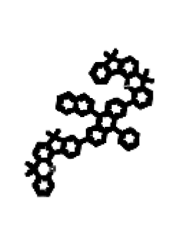 CC1(C)c2ccccc2Oc2c1ccc1c2-c2ccc(-c3ccc4c(-c5ccccc5)c5cc(-c6cccc7c6Oc6c(ccc8c6-c6ccccc6C8(C)C)C7(C)C)ccc5c(-c5ccc6ccccc6c5)c4c3)cc2C1(C)C